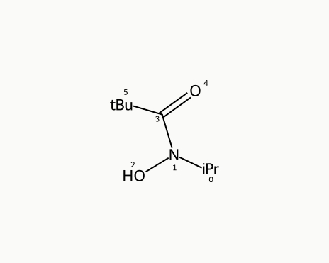 CC(C)N(O)C(=O)C(C)(C)C